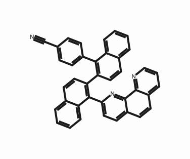 N#Cc1ccc(-c2c(-c3ccc4ccccc4c3-c3ccc4ccc5cccnc5c4n3)ccc3ccccc23)cc1